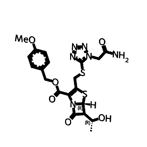 COc1ccc(COC(=O)C2=C(CSc3nnnn3CC(N)=O)S[C@@H]3C([C@@H](C)O)C(=O)N23)cc1